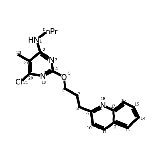 CCCNc1nc(OCCCc2ccc3ccccc3n2)nc(Cl)c1C